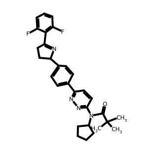 CC(C)(C)C(=O)N(c1ccc(-c2ccc(C3CCC(c4c(F)cccc4F)=N3)cc2)nn1)C1CCCC1